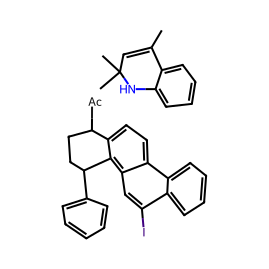 CC(=O)C1CCC(c2ccccc2)c2c1ccc1c2cc(I)c2ccccc21.CC1=CC(C)(C)Nc2ccccc21